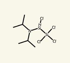 CC(C)N(C(C)C)[SiH](Cl)[Si](Cl)(Cl)Cl